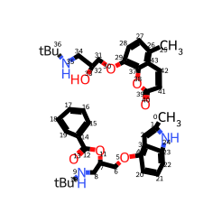 Cc1cc2c(OCC(CNC(C)(C)C)OC(=O)c3ccccc3)cccc2[nH]1.Cc1ccc(OCC(O)CNC(C)(C)C)c2oc(=O)ccc12